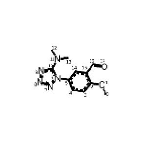 COc1ccc(-n2nnnc2N(C)C)cc1C=O